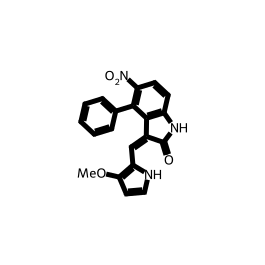 COc1cc[nH]c1C=C1C(=O)Nc2ccc([N+](=O)[O-])c(-c3ccccc3)c21